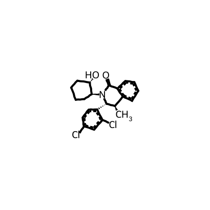 C[C@@H]1c2ccccc2C(=O)N([C@H]2CCCC[C@@H]2O)[C@H]1c1ccc(Cl)cc1Cl